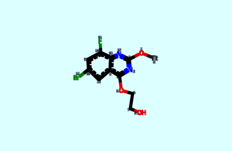 CCOc1nc(OCCO)c2cc(Br)cc(F)c2n1